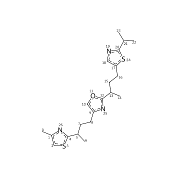 Cc1csc(C(C)CCc2coc(C(C)CCc3cnc(C(C)C)s3)n2)n1